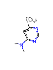 CN(C)c1cc(C(=O)O)ncn1